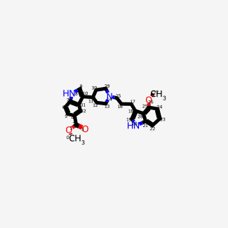 COC(=O)c1ccc2[nH]cc(C3CCN(CCCc4c[nH]c5cccc(OC)c45)CC3)c2c1